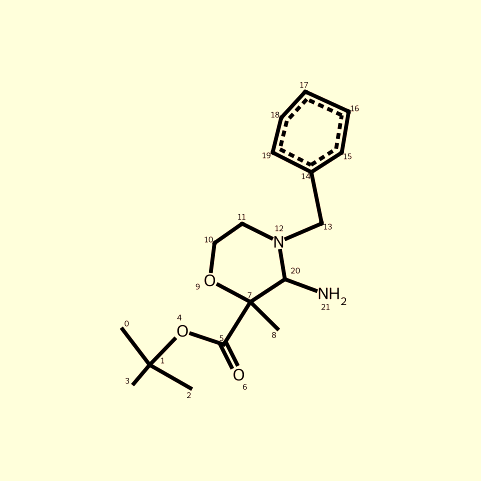 CC(C)(C)OC(=O)C1(C)OCCN(Cc2ccccc2)C1N